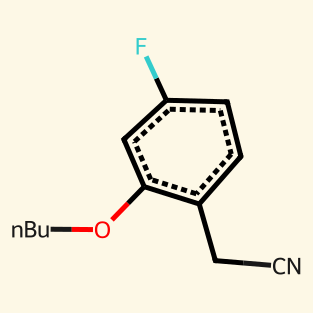 CCCCOc1cc(F)ccc1CC#N